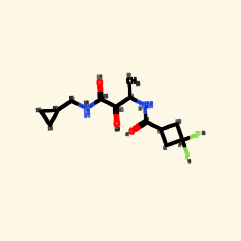 CC(NC(=O)C1CC(F)(F)C1)C(=O)C(=O)NCC1CC1